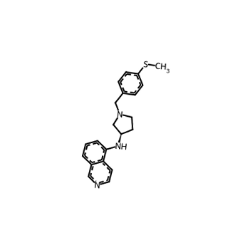 CSc1ccc(CN2CC[C@@H](Nc3cccc4cnccc34)C2)cc1